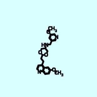 COc1cncc(CNC2COC(CCc3ccnc4ccc(OC)cc34)OC2)c1